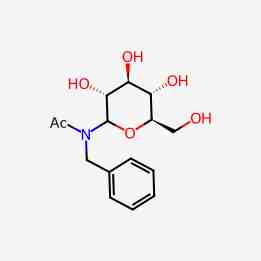 CC(=O)N(Cc1ccccc1)C1O[C@H](CO)[C@@H](O)[C@H](O)[C@H]1O